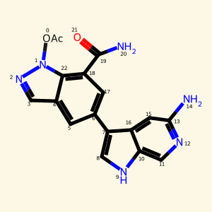 CC(=O)On1ncc2cc(-c3c[nH]c4cnc(N)cc34)cc(C(N)=O)c21